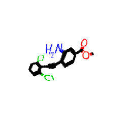 COC(=O)c1ccc(C#Cc2c(Cl)cccc2Cl)c(N)c1